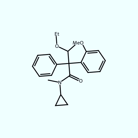 CCOC(C)C(C(=O)N(C)C1CC1)(c1ccccc1)c1ccccc1OC